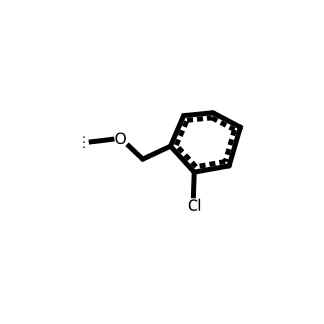 [C]OCc1ccccc1Cl